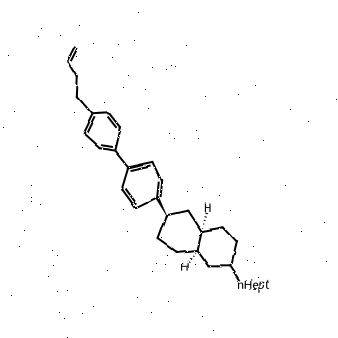 C=CCCc1ccc(-c2ccc([C@@H]3CC[C@@H]4CC(CCCCCCC)CC[C@@H]4C3)cc2)cc1